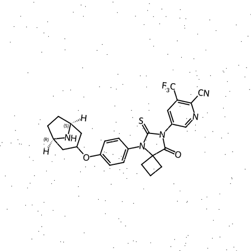 N#Cc1ncc(N2C(=O)C3(CCC3)N(c3ccc(OC4C[C@H]5CC[C@@H](C4)N5)cc3)C2=S)cc1C(F)(F)F